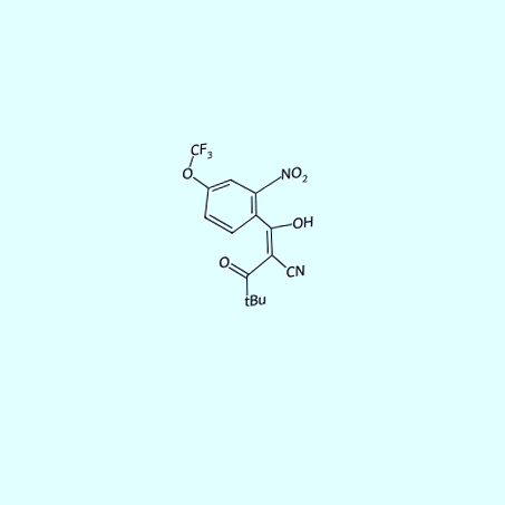 CC(C)(C)C(=O)C(C#N)=C(O)c1ccc(OC(F)(F)F)cc1[N+](=O)[O-]